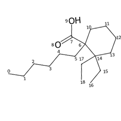 CCCCCCC1(C(=O)O)CCCCC1(CC)CC